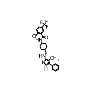 Cc1c(NCC2CCC(NC(=O)c3cc(C(F)(F)F)ccc3Cl)CC2)n[nH]c1-c1ccccc1